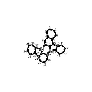 c1ccc2c(c1)cc1c3c2c2ccccc2n3c2cccc3c4ccccc4n1c32